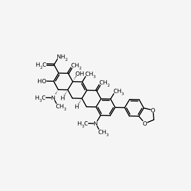 C=C(N)C1=C(O)[C@@H](N(C)C)[C@@H]2C[C@@H]3Cc4c(N(C)C)cc(-c5ccc6c(c5)OCO6)c(C)c4C(=C)C3=C(C)[C@]2(O)C1=C